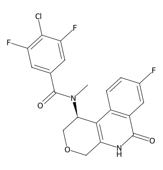 CN(C(=O)c1cc(F)c(Cl)c(F)c1)[C@@H]1COCc2[nH]c(=O)c3cc(F)ccc3c21